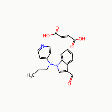 CCCN(c1ccncc1)n1cc(C=O)c2ccccc21.O=C(O)C=CC(=O)O